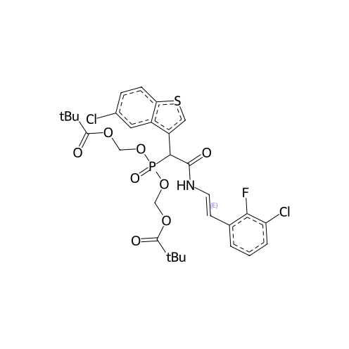 CC(C)(C)C(=O)OCOP(=O)(OCOC(=O)C(C)(C)C)C(C(=O)N/C=C/c1cccc(Cl)c1F)c1csc2ccc(Cl)cc12